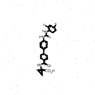 O=C(Nc1ccc(-c2ccc(C(=O)NC3(C(=O)O)CC3)cc2)cc1)Nc1ccc(F)cc1F